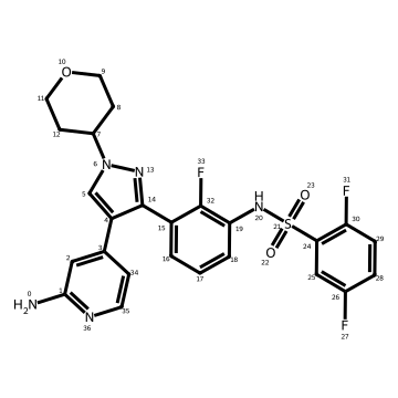 Nc1cc(-c2cn(C3CCOCC3)nc2-c2cccc(NS(=O)(=O)c3cc(F)ccc3F)c2F)ccn1